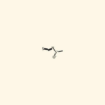 C[S+]([O-])N=C=S